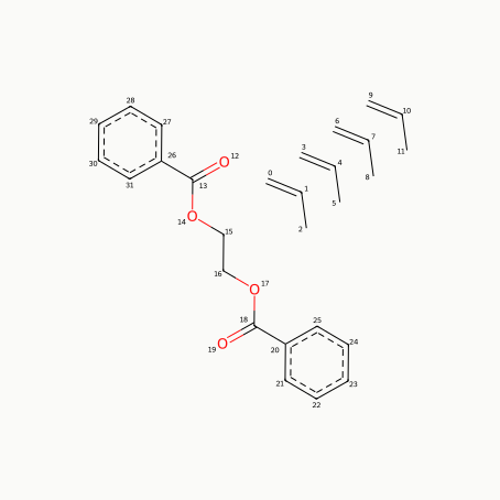 C=CC.C=CC.C=CC.C=CC.O=C(OCCOC(=O)c1ccccc1)c1ccccc1